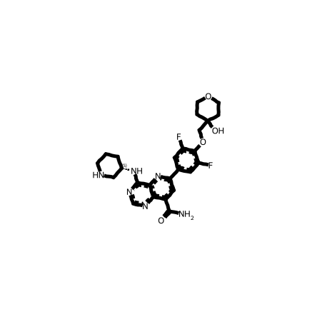 NC(=O)c1cc(-c2cc(F)c(OCC3(O)CCOCC3)c(F)c2)nc2c(N[C@H]3CCCNC3)ncnc12